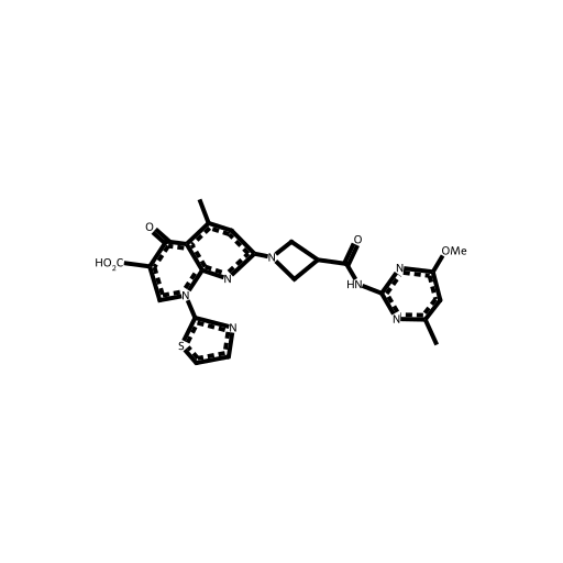 COc1cc(C)nc(NC(=O)C2CN(c3cc(C)c4c(=O)c(C(=O)O)cn(-c5nccs5)c4n3)C2)n1